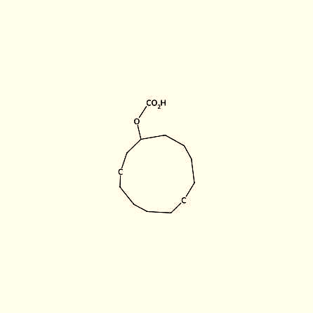 O=C(O)OC1CCCCCCCCCCC1